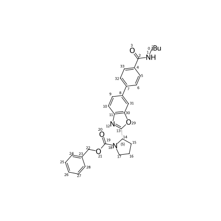 CCC(C)NC(=O)c1ccc(-c2ccc3nc([C@@H]4CCCN4C(=O)OCc4ccccc4)oc3c2)cc1